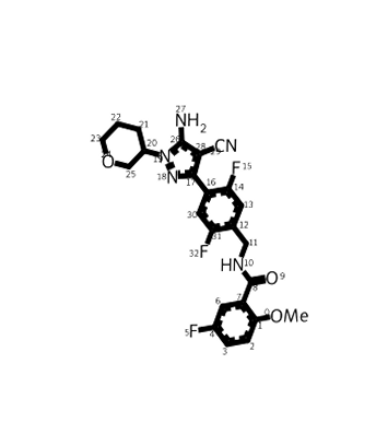 COc1ccc(F)cc1C(=O)NCc1cc(F)c(-c2nn(C3CCCOC3)c(N)c2C#N)cc1F